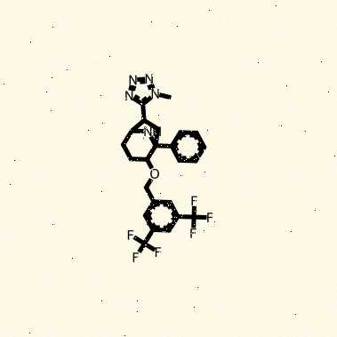 Cn1nnnc1C1CC2(c3ccccc3)NC1CCC2OCc1cc(C(F)(F)F)cc(C(F)(F)F)c1